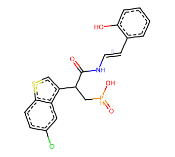 O=C(N/C=C/c1ccccc1O)C(C[PH](=O)O)c1csc2ccc(Cl)cc12